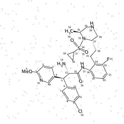 COc1ccc([C@H](c2ccc(Cl)cc2)[C@H](N)C(=O)Nc2cccc(F)c2CC[C@H]2CNC[C@H](C)N2S(=O)(=O)C2CC2)cn1